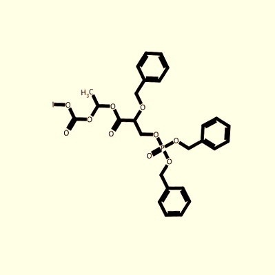 CC(OC(=O)OI)OC(=O)C(COP(=O)(OCc1ccccc1)OCc1ccccc1)OCc1ccccc1